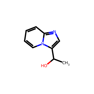 CC(O)c1cnc2ccccn12